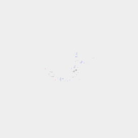 CC(=O)OC1=C(C[N+]23CCCC2(CNC(=O)c2ccc(O)c(O)c2Cl)CCC3)CS[C@@H]2[C@H](NC(=O)/C(=N\OC(C)(C)OC=O)c3csc(N)n3)C(=O)N12